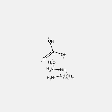 NN.NN.O.O.O=S(O)O